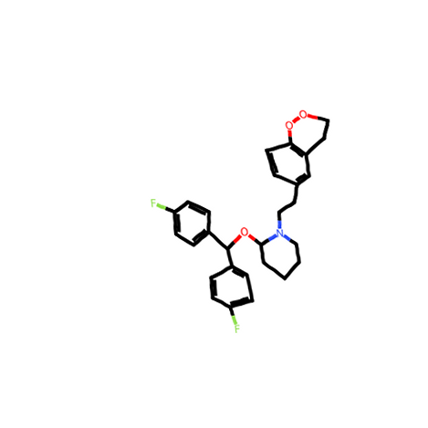 Fc1ccc(C(OC2CCCCN2CCc2ccc3c(c2)CCOO3)c2ccc(F)cc2)cc1